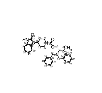 CC(C)[C@@H](COC(=O)N1CCC(n2c(=O)[nH]c3ccccc32)CC1)N(Cc1ccccc1)Cc1ccccc1